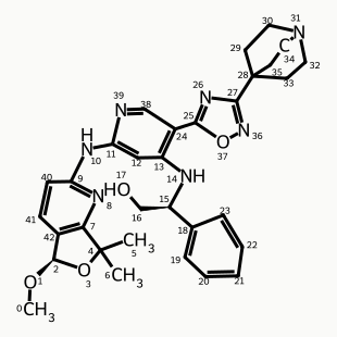 CO[C@@H]1OC(C)(C)c2nc(Nc3cc(N[C@H](CO)c4ccccc4)c(-c4nc(C56CCN(CC5)CC6)no4)cn3)ccc21